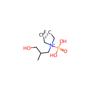 CC(CO)C[N+](CC(F)(F)F)(CC(F)(F)F)P(=O)(O)O